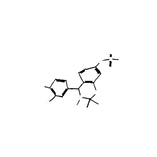 CC1(C)Oc2cc(NS(C)(=O)=O)ccc2C(c2ccc(F)c(N)c2)[NH+]1[O-]